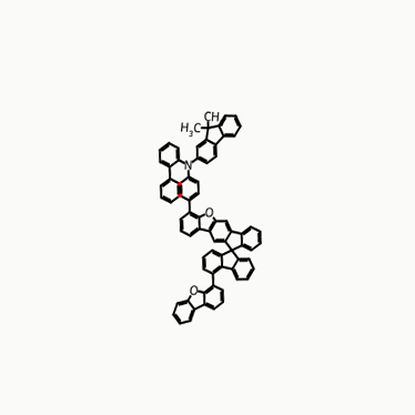 CC1(C)c2ccccc2-c2ccc(N(c3ccc(-c4cccc5c4oc4cc6c(cc45)C4(c5ccccc5-6)c5ccccc5-c5c(-c6cccc7c6oc6ccccc67)cccc54)cc3)c3ccccc3-c3ccccc3)cc21